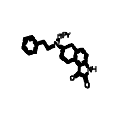 CCCN(CCc1ccccc1)C1CCc2c(ccc3c2C(=O)C(=O)N3)C1